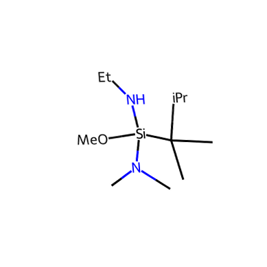 CCN[Si](OC)(N(C)C)C(C)(C)C(C)C